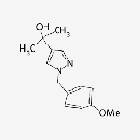 COc1ccc(Cn2cc(C(C)(C)O)cn2)cc1